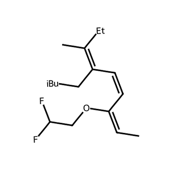 C\C=C(/C=C\C(CC(C)CC)=C(\C)CC)OCC(F)F